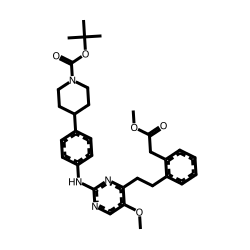 COC(=O)Cc1ccccc1CCc1nc(Nc2ccc(C3CCN(C(=O)OC(C)(C)C)CC3)cc2)ncc1OC